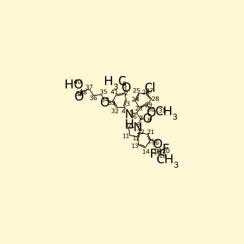 COc1cc(NC(C(=O)N2CCc3ccc(OC(C)(F)F)cc32)c2ccc(Cl)cc2OC)cc(OCCCC(=O)O)c1